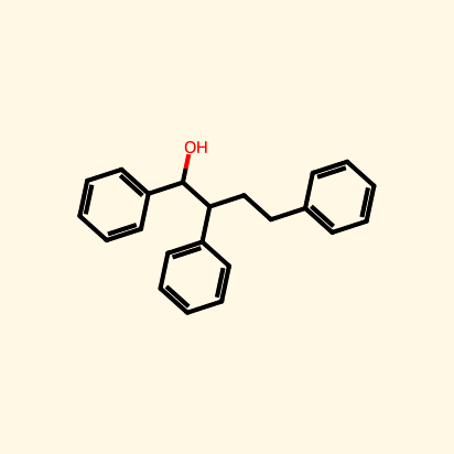 OC(c1ccccc1)C(CCc1ccccc1)c1ccccc1